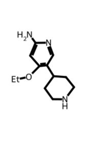 CCOc1cc(N)ncc1C1CCNCC1